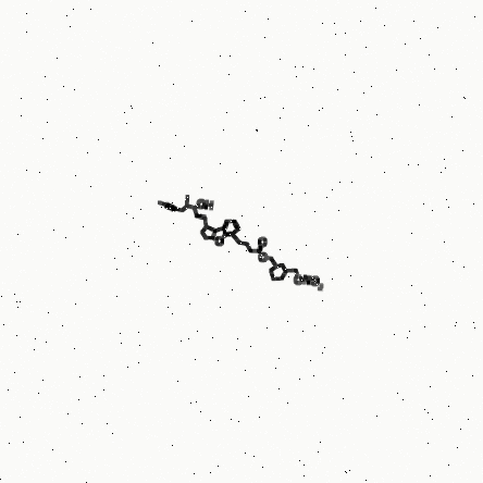 CC#CCC(C)C(O)/C=C/C1CCC2Oc3c(CCCC(=O)OCC4CCCC(CO[N+](=O)[O-])C4)cccc3C12